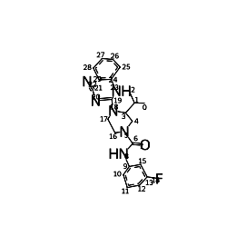 CC(C)C1CN(C(=O)Nc2cccc(F)c2)CCN1/C(=N/C#N)Nc1ccccc1